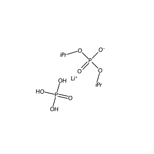 CC(C)OP(=O)([O-])OC(C)C.O=P(O)(O)O.[Li+]